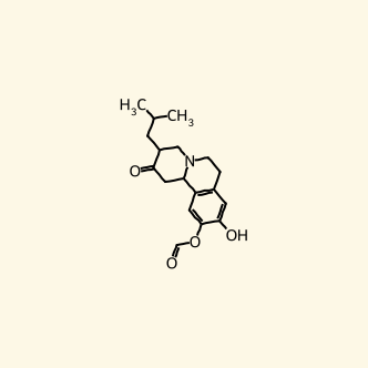 CC(C)CC1CN2CCc3cc(O)c(OC=O)cc3C2CC1=O